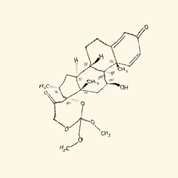 COC1(OC)OCC(=O)[C@@]2(O1)[C@H](C)C[C@H]1[C@@H]3CCC4=CC(=O)C=C[C@]4(C)[C@@]3(F)[C@@H](O)C[C@@]12C